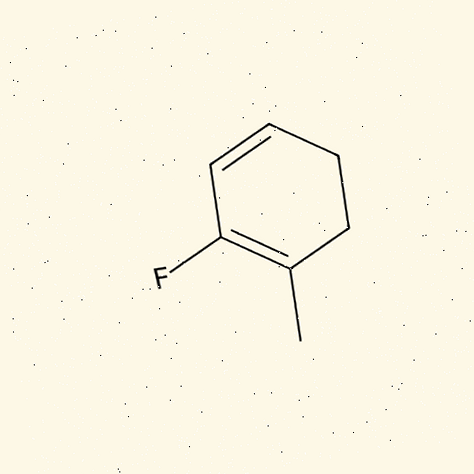 CC1=C(F)C=CCC1